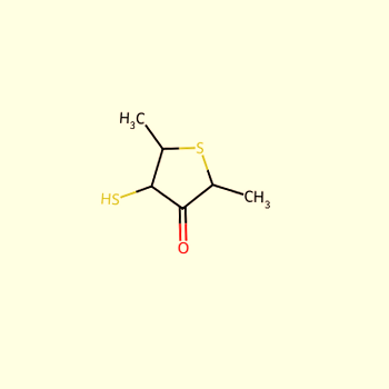 CC1SC(C)C(S)C1=O